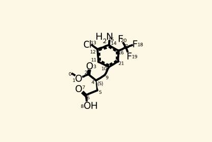 COC(=O)[C@H](CC(=O)O)Cc1cc(Cl)c(N)c(C(F)(F)F)c1